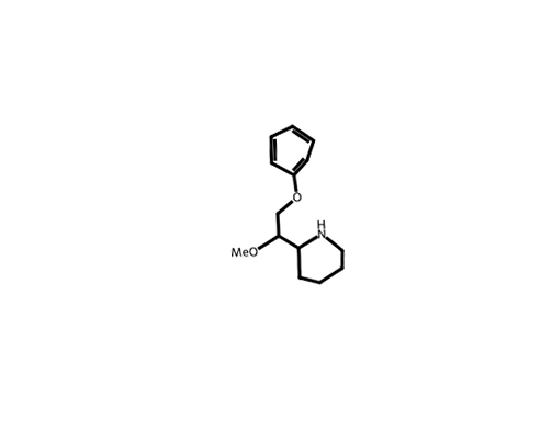 COC(COc1ccccc1)C1CCCCN1